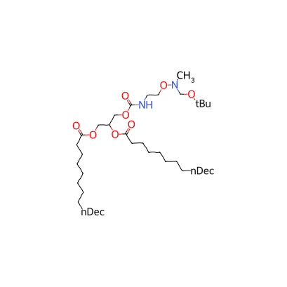 CCCCCCCCCCCCCCCCCC(=O)OCC(COC(=O)NCCON(C)COC(C)(C)C)OC(=O)CCCCCCCCCCCCCCCCC